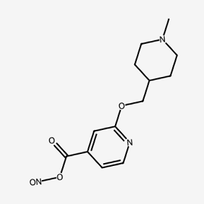 CN1CCC(COc2cc(C(=O)ON=O)ccn2)CC1